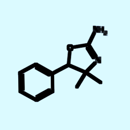 CC1(C)N=C(N)OC1c1ccccc1